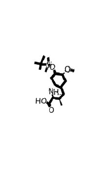 CO[C@@H]1CC(C[C@@H](C)[C@H](N)C(=O)O)CCC1O[Si](C)(C)C(C)(C)C